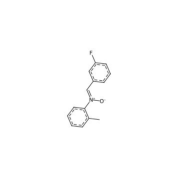 Cc1ccccc1[N+]([O-])=Cc1cccc(F)c1